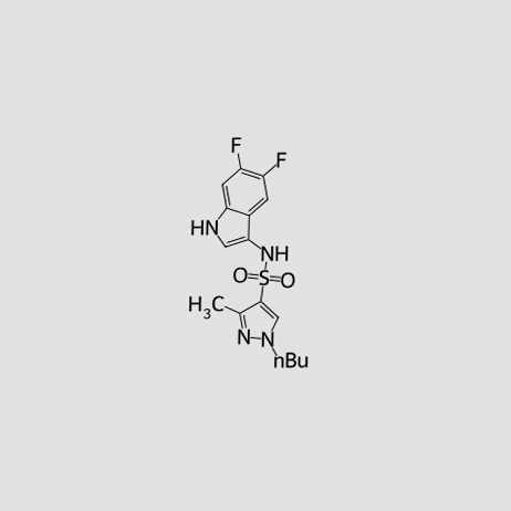 CCCCn1cc(S(=O)(=O)Nc2c[nH]c3cc(F)c(F)cc23)c(C)n1